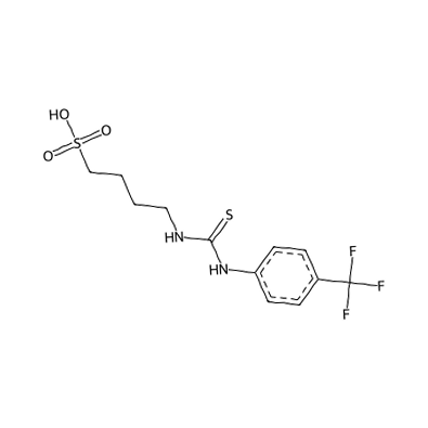 O=S(=O)(O)CCCCNC(=S)Nc1ccc(C(F)(F)F)cc1